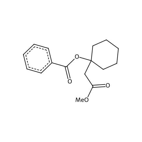 COC(=O)CC1(OC(=O)c2ccccc2)CCCCC1